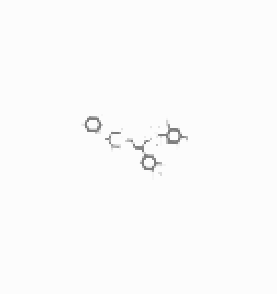 O=C(NCC(CCN1CCC(Oc2ccccc2)CC1)c1ccc(Cl)c(Cl)c1)c1ccc(Cl)cc1Cl